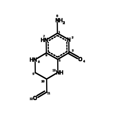 Nc1nc(=O)c2c([nH]1)NCC(C=O)N2